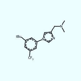 CN(C)Cc1cn(-c2cc(C(C)(C)C)cc(C(F)(F)F)c2)cn1